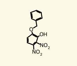 O=[N+]([O-])c1ccc(OCc2ccccc2)c(O)c1[N+](=O)[O-]